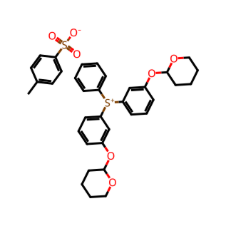 Cc1ccc(S(=O)(=O)[O-])cc1.c1ccc([S+](c2cccc(OC3CCCCO3)c2)c2cccc(OC3CCCCO3)c2)cc1